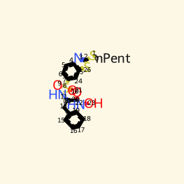 CCCCCSc1nc2ccc(S(=O)(=O)N[C@H](Cc3ccccc3)C(=O)NO)cc2s1